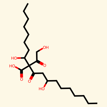 CCCCCCCC(O)CC(=O)C(C(=O)O)(C(=O)CO)C(O)CCCCCCC